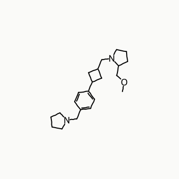 COCC1CCCN1CC1CC(c2ccc(CN3CCCC3)cc2)C1